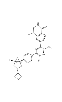 Nc1nc(F)c(-c2ccc([C@]34C[C@H]3CN(C3CCC3)C4)cc2)nc1-c1ccc2c(=O)[nH]cc(F)c2c1